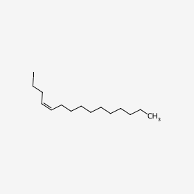 CCCCCCCCCC/C=C\CCI